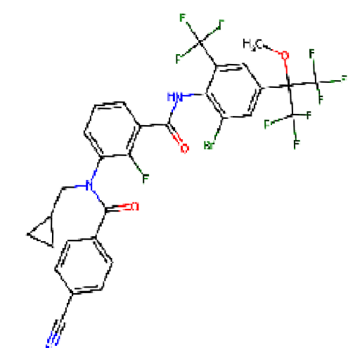 COC(c1cc(Br)c(NC(=O)c2cccc(N(CC3CC3)C(=O)c3ccc(C#N)cc3)c2F)c(C(F)(F)F)c1)(C(F)(F)F)C(F)(F)F